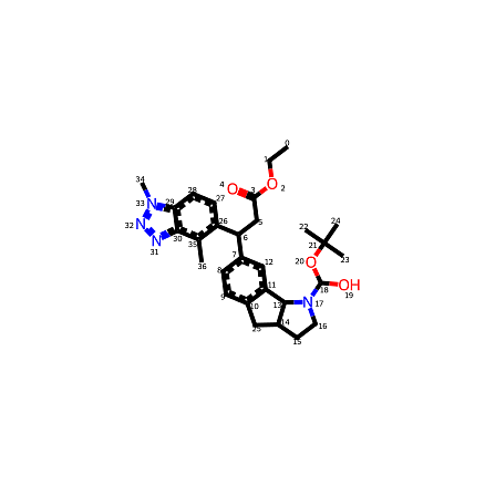 CCOC(=O)CC(c1ccc2c(c1)C1C(CCN1C(O)OC(C)(C)C)C2)c1ccc2c(nnn2C)c1C